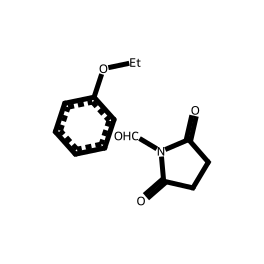 CCOc1ccccc1.O=CN1C(=O)CCC1=O